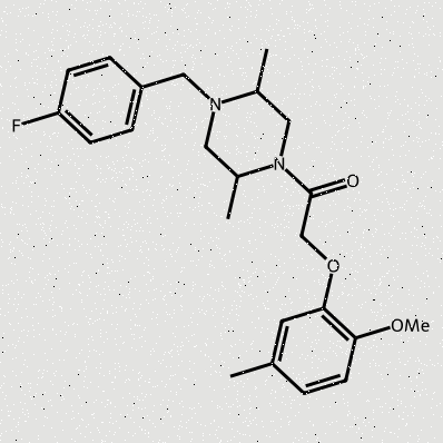 COc1ccc(C)cc1OCC(=O)N1CC(C)N(Cc2ccc(F)cc2)CC1C